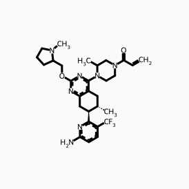 C=CC(=O)N1CCN(c2nc(OCC3CCCN3C)nc3c2C[C@H](C)[C@@H](c2nc(N)ccc2C(F)(F)F)C3)C(C)C1